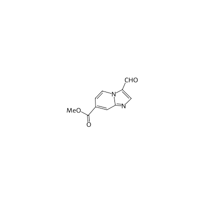 COC(=O)c1ccn2c(C=O)cnc2c1